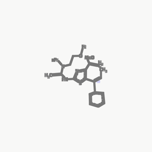 C=C(OC)c1nc(NC(=C)N(CCC)CCOCC)sc1/C(=C\C)c1ccccc1